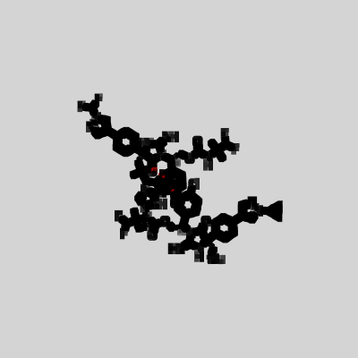 CC(C)(C)C[C@]1(c2ccc(-c3cnn(C4CC4)c3)cc2)NC(=N)N([C@H](COC(=O)NC(C)(C)C(F)F)c2ccc(Cl)c(-c3nc(CC(C)(C)C[C@]4(c5ccc(-c6cnn(C(F)F)c6)cc5)NC(=N)N([C@H](COC(=O)NC(C)(C)C(F)F)c5ccc(Cl)c(-c6ncn[nH]6)c5)C4=O)n[nH]3)c2)C1=O